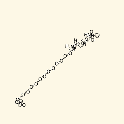 N/C(=C\N(N)CCOCCOCCOCCOCCOCCOCCOCCOCCOCCOCCOCCOCCC(=O)ON1C(=O)CCC1=O)c1ccc2nc(N3CCC4(CC3)NC(=O)N(c3ccccc3)C4=O)sc2c1